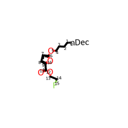 CCCCCCCCCCCCCCOc1ccc(C(=O)OCCF)o1